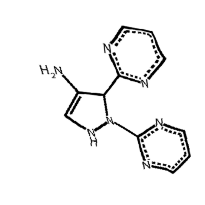 NC1=CNN(c2ncccn2)C1c1ncccn1